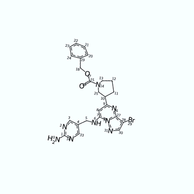 Nc1ncc(CNc2cc(C3CCCN(C(=O)OCc4ccccc4)C3)nc3c(Br)cnn23)cn1